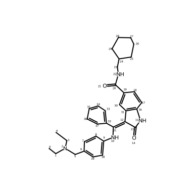 CCN(CC)Cc1ccc(N/C(=C2\C(=O)Nc3ccc(C(=O)NCC4CCCCC4)cc32)c2ccccc2)cc1